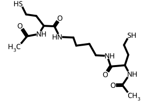 CC(=O)NC(CCS)C(=O)NCCCCNC(=O)C(CCS)NC(C)=O